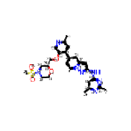 Cc1cc(-c2ccn3nc(Nc4cc(C)nc(C)n4)cc3c2)c(OC[C@@H]2CN(S(C)(=O)=O)CCO2)cn1